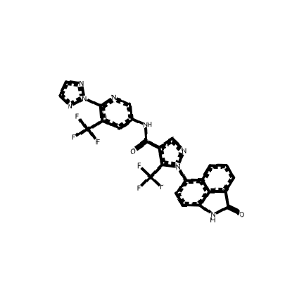 O=C(Nc1cnc(-n2nccn2)c(C(F)(F)F)c1)c1cnn(-c2ccc3c4c(cccc24)C(=O)N3)c1C(F)(F)F